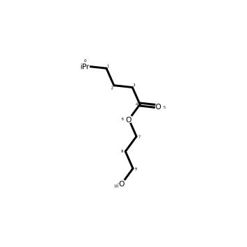 CC(C)CCCC(=O)OCCC[O]